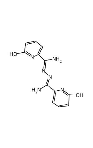 N/C(=N\N=C(/N)c1cccc(O)n1)c1cccc(O)n1